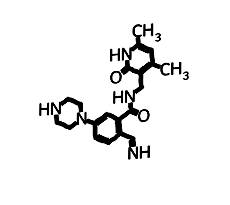 Cc1cc(C)c(CNC(=O)c2cc(N3CCNCC3)ccc2C=N)c(=O)[nH]1